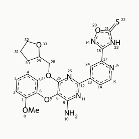 COc1ccccc1Oc1c(N)nc(-c2ccnc(-c3noc(=S)[nH]3)c2)nc1OCC1CCCO1